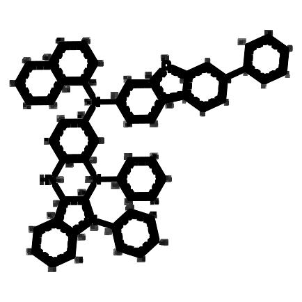 c1ccc(-c2ccc3c(c2)oc2cc(N(c4ccc5c(c4)N(c4ccccc4)c4c(c6ccccc6n4-c4ccccc4)N5)c4cccc5ccccc45)ccc23)cc1